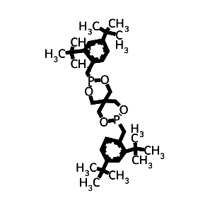 CC(C)(C)c1ccc(CP2OCC3(CO2)COP(Cc2ccc(C(C)(C)C)cc2C(C)(C)C)OC3)c(C(C)(C)C)c1